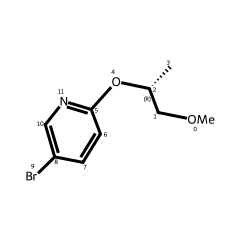 COC[C@@H](C)Oc1ccc(Br)cn1